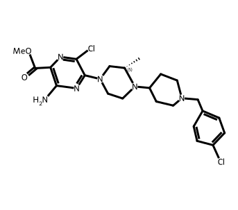 COC(=O)c1nc(Cl)c(N2CCN(C3CCN(Cc4ccc(Cl)cc4)CC3)[C@@H](C)C2)nc1N